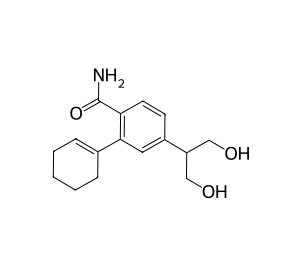 NC(=O)c1ccc(C(CO)CO)cc1C1=CCCCC1